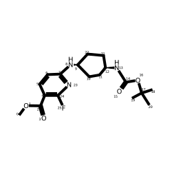 COC(=O)c1ccc(N[C@H]2CC[C@H](NC(=O)OC(C)(C)C)CC2)nc1F